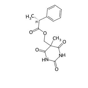 C[C@@H](C(=O)OCC1(C)C(=O)NC(=O)NC1=O)c1ccccc1